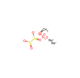 C=O.O.O.O=S([O-])S(=O)[O-].[Na+].[Na+]